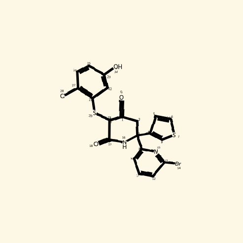 O=C1CC(c2ccsc2)(c2cccc(Br)n2)NC(=O)C1Sc1cc(O)ccc1Cl